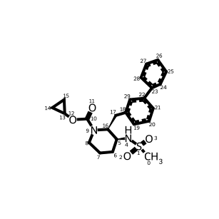 CS(=O)(=O)N[C@H]1CCCN(C(=O)OC2CC2)[C@H]1Cc1cccc(-c2ccccc2)c1